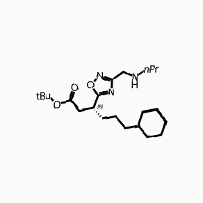 CCCNCc1noc([C@H](CCCC2CCCCC2)CC(=O)OC(C)(C)C)n1